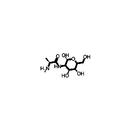 C[C@H](N)C(=O)NC1[C@H](O)OC(CO)[C@@H](O)[C@H]1O